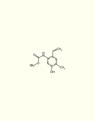 C=Cc1cc(C)c(O)cc1NC(=O)OC(C)(C)C